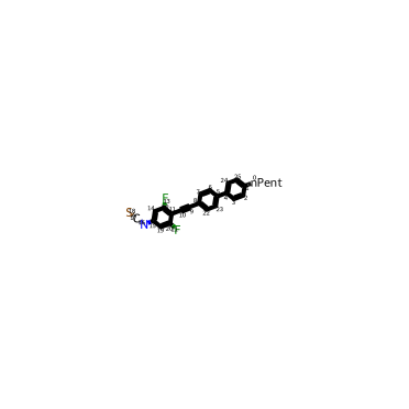 CCCCCc1ccc(-c2ccc(C#Cc3c(F)cc(N=C=S)cc3F)cc2)cc1